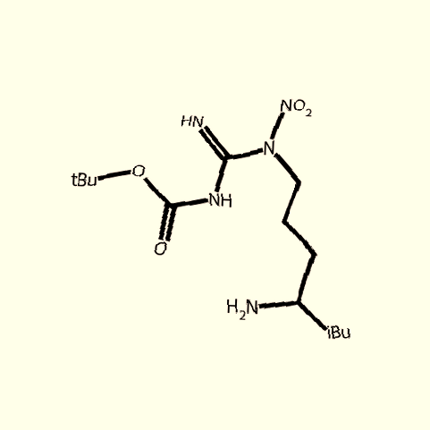 CCC(C)C(N)CCCN(C(=N)NC(=O)OC(C)(C)C)[N+](=O)[O-]